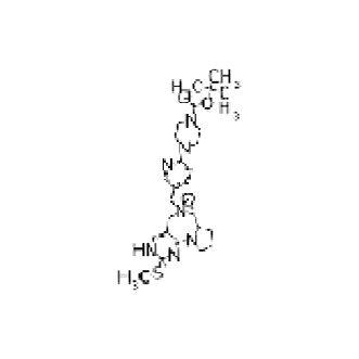 CS[C@@H]1N=C2C(=CN1)C[N+]([O-])(Cc1ccc(N3CCN(C(=O)OC(C)(C)C)CC3)nc1)CC1CCCN21